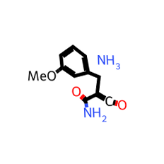 COc1cccc(CC(=C=O)C(N)=O)c1.N